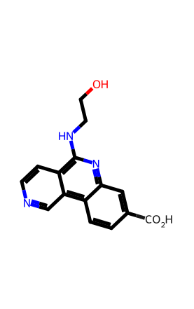 O=C(O)c1ccc2c(c1)nc(NCCO)c1ccncc12